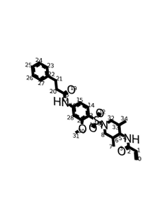 C=CC(=O)NC1C(C)CN(S(=O)(=O)c2ccc(NC(=O)CCc3ccccc3)cc2OC)CC1C